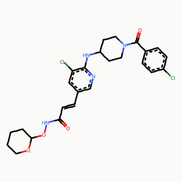 O=C(C=Cc1cnc(NC2CCN(C(=O)c3ccc(Cl)cc3)CC2)c(Cl)c1)NOC1CCCCO1